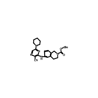 CC(C)(C)OC(=O)N1CCc2cc(Nc3nc(N4CCCCC4)cnc3C#N)ccc2C1